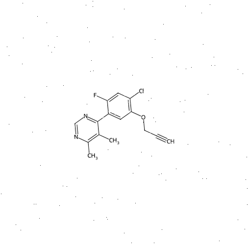 C#CCOc1cc(-c2ncnc(C)c2C)c(F)cc1Cl